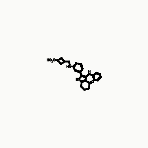 O=C1CCCc2[nH]c(-c3ccnc(NCC4CN(C(=O)O)C4)c3)c(Nc3ccccc3)c21